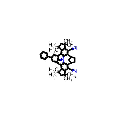 CC1(C)CC(C)(C)c2c1c(C#N)c1c3c2c2cc(-c4ccccc4)cc4c5c6c(c(C#N)c(c5n3c24)C2CCC1C2)C(C)(C)CC6(C)C